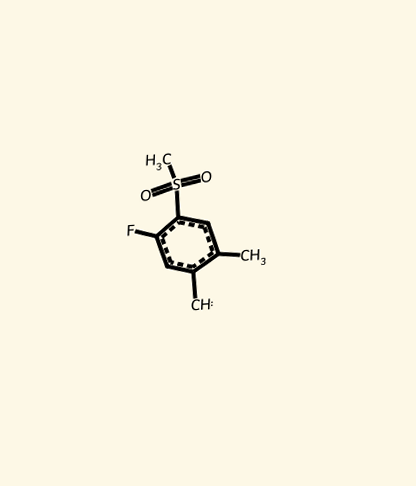 [CH]c1cc(F)c(S(C)(=O)=O)cc1C